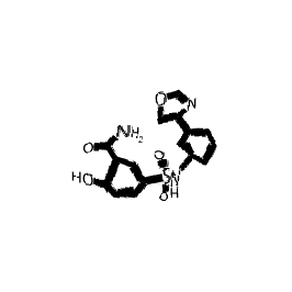 NC(=O)c1cc(S(=O)(=O)Nc2cccc(-c3cocn3)c2)ccc1O